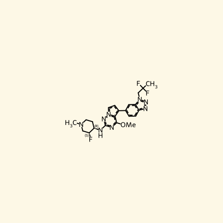 COc1nc(N[C@@H]2CCN(C)C[C@@H]2F)nn2ccc(-c3ccc4nnn(CC(C)(F)F)c4c3)c12